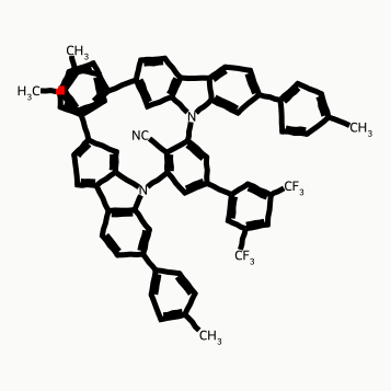 Cc1ccc(-c2ccc3c4ccc(-c5ccc(C)cc5)cc4n(-c4cc(-c5cc(C(F)(F)F)cc(C(F)(F)F)c5)cc(-n5c6cc(-c7ccc(C)cc7)ccc6c6ccc(-c7ccc(C)cc7)cc65)c4C#N)c3c2)cc1